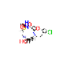 CC(C)CC1[C@H](C)C/C=C/[C@H](O)[C@@H]2CC[C@H]2CN2CCCCc3cc(Cl)ccc3COc3ccc(cc32)C(=O)NS1(=O)=O